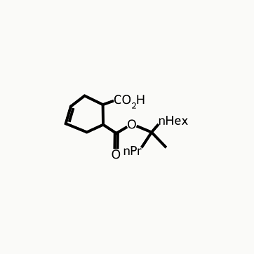 CCCCCCC(C)(CCC)OC(=O)C1CC=CCC1C(=O)O